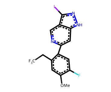 COc1cc(CC(F)(F)F)c(-c2cc3[nH]nc(I)c3cn2)cc1F